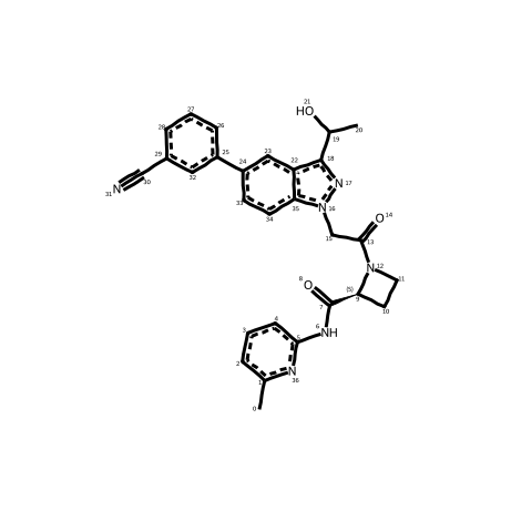 Cc1cccc(NC(=O)[C@@H]2CCN2C(=O)Cn2nc(C(C)O)c3cc(-c4cccc(C#N)c4)ccc32)n1